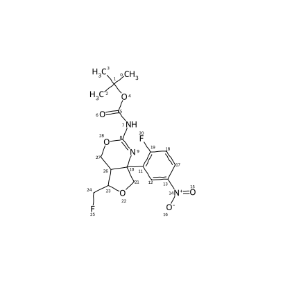 CC(C)(C)OC(=O)NC1=NC2(c3cc([N+](=O)[O-])ccc3F)COC(CF)C2CO1